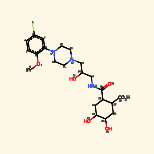 CC(C)Oc1ccc(F)cc1N1CCN(CC(O)CNC(=O)C2CC(O)C(O)CC2C(=O)O)CC1